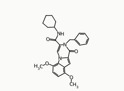 COc1ccc(OC)c2c1cc1c(=O)n(Cc3ccccc3)c(C(=O)NC3CCCCC3)cn12